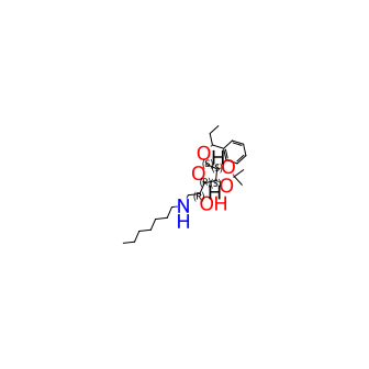 CCCCCCCNC[C@@H](O)[C@H]1O[C@H](OC(CC)c2ccccc2)[C@H]2OC(C)(C)O[C@H]21